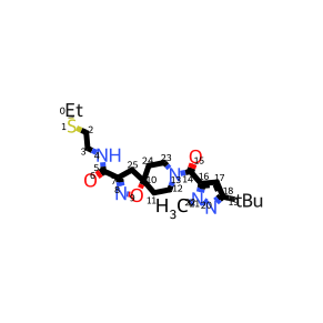 CCSCCNC(=O)C1=NOC2(CCN(C(=O)c3cc(C(C)(C)C)nn3C)CC2)C1